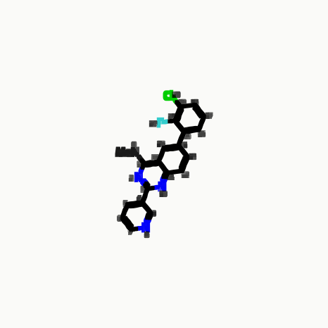 CNc1nc(-c2cccnc2)nc2ccc(-c3cccc(Cl)c3F)cc12